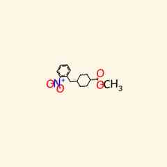 COC(=O)C1CCC(Cc2ccccc2[N+](=O)[O-])CC1